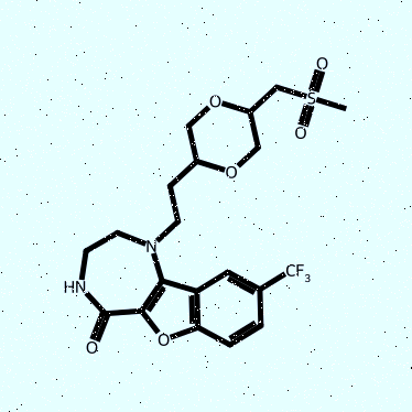 CS(=O)(=O)CC1COC(CCN2CCNC(=O)c3oc4ccc(C(F)(F)F)cc4c32)CO1